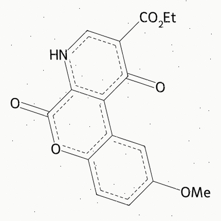 CCOC(=O)c1c[nH]c2c(=O)oc3ccc(OC)cc3c2c1=O